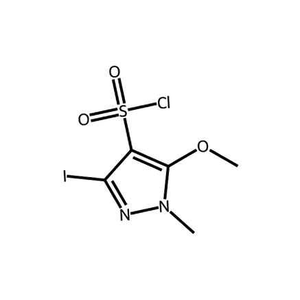 COc1c(S(=O)(=O)Cl)c(I)nn1C